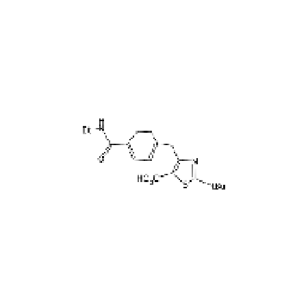 CCNC(=O)c1ccc(Cc2nc(C(C)(C)C)sc2C(=O)O)cc1